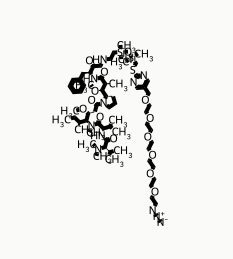 CC[C@H](C)[C@@H]([C@@H](CC(=O)N1CCC[C@H]1[C@H](OC)[C@@H](C)C(=O)N[C@@H](Cc1ccccc1)C(=O)CNCC[Si](C)(C)O[Si](C)(C)CSc1ncc(COCCOCCOCCOCCOCCOCCN=[N+]=[N-])cn1)OC)N(C)C(=O)[C@@H](NC(=O)[C@H](C(C)C)N(C)C)C(C)C